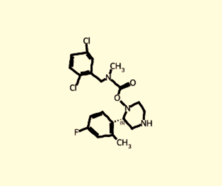 Cc1cc(F)ccc1[C@H]1CNCCN1OC(=O)N(C)Cc1cc(Cl)ccc1Cl